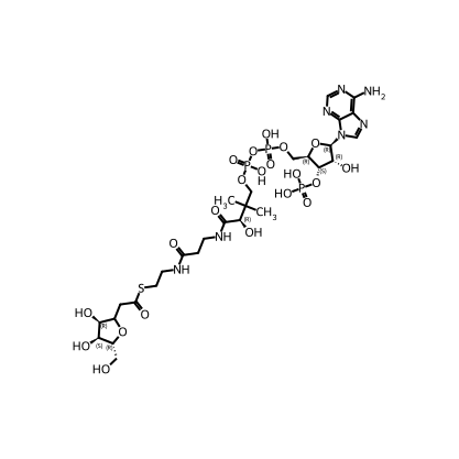 CC(C)(COP(=O)(O)OP(=O)(O)OC[C@H]1O[C@@H](n2cnc3c(N)ncnc32)[C@H](O)[C@@H]1OP(=O)(O)O)[C@@H](O)C(=O)NCCC(=O)NCCSC(=O)CC1O[C@H](CO)[C@@H](O)[C@H]1O